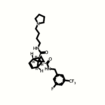 O=C(NCCCCN1CCCC1)[C@H]1[C@H](C(=O)NCc2cc(F)cc(C(F)(F)F)c2)[C@@H]2C=C[C@H]1C21CC1